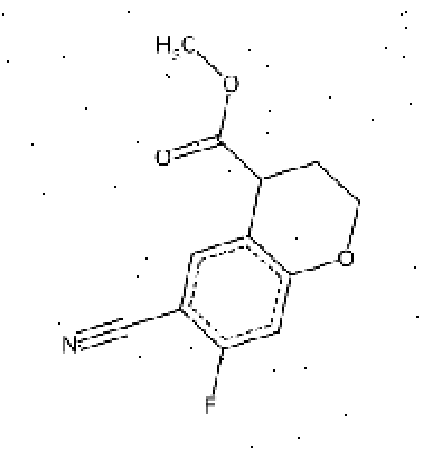 COC(=O)C1CCOc2cc(F)c(C#N)cc21